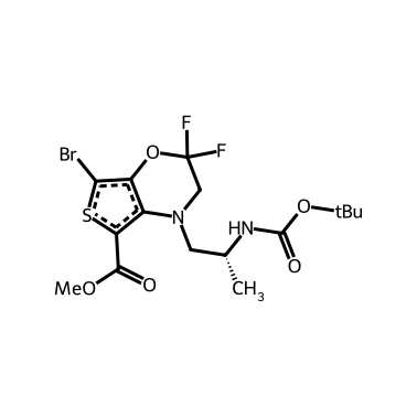 COC(=O)c1sc(Br)c2c1N(C[C@@H](C)NC(=O)OC(C)(C)C)CC(F)(F)O2